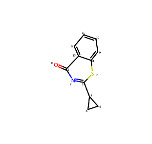 O=c1nc(C2CC2)sc2ccccc12